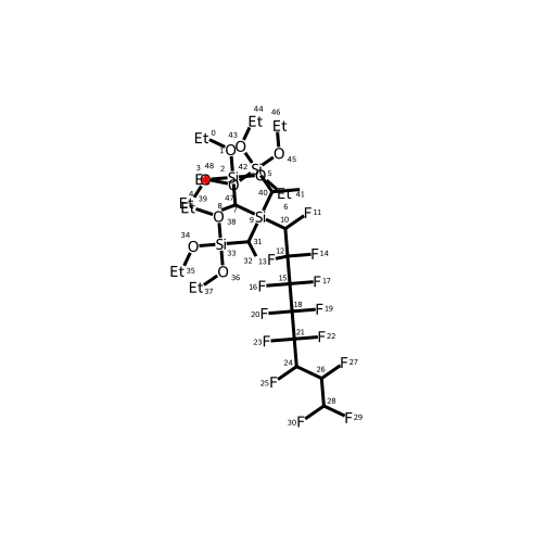 CCO[Si](OCC)(OCC)C(C)[Si](C(F)C(F)(F)C(F)(F)C(F)(F)C(F)(F)C(F)C(F)C(F)F)(C(C)[Si](OCC)(OCC)OCC)C(C)[Si](OCC)(OCC)OCC